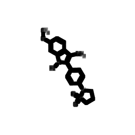 CCn1c(-c2ccc(N3CCCS3(=O)=O)cc2)c(N)c2ccc(OC(F)(F)F)cc21